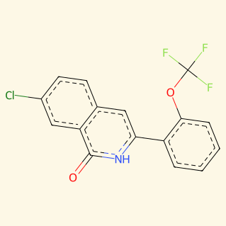 O=c1[nH]c(-c2ccccc2OC(F)(F)F)cc2ccc(Cl)cc12